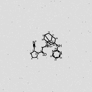 N#C[C@@H]1CCCN1C(=O)CNC12CC3CC(C1)CC(Nc1ncccn1)(C3)C2